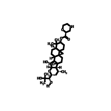 CCO[C@@H]([C@H]1C[C@@H](C)[C@H]2[C@H](O1)[C@H](O)C1[C@@H]3CC[C@H]4C(C)(C)[C@@H](OC(=O)[C@@H]5CNCCO5)CCC45C[C@@]35CC[C@@]12C)C(C)(C)O